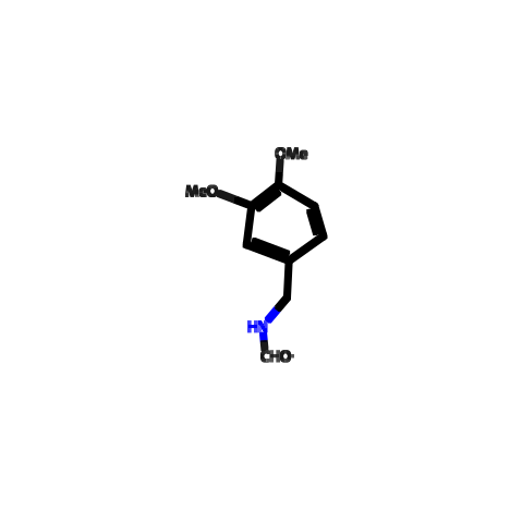 COc1ccc(CN[C]=O)cc1OC